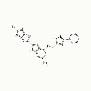 CCc1nn2cc(-c3cc4c(OCc5csc(-c6ccccc6)n5)cc(P)cc4o3)nc2s1